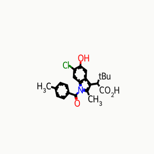 Cc1ccc(C(=O)n2c(C)c(C(C(=O)O)C(C)(C)C)c3cc(O)c(Cl)cc32)cc1